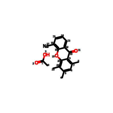 CC(=O)O.Cc1cc(C)c2c(=O)c3ccc[c]([Na])c3oc2c1C